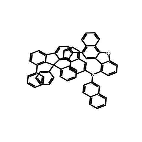 c1ccc(-c2cccc3c2C(c2ccccc2)(c2ccccc2)c2cc(-c4cc5c(oc6cccc(N(c7ccc8ccccc8c7)c7ccc8ccccc8c7)c65)c5ccccc45)ccc2-3)cc1